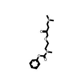 CN(C)CCC(=O)COCCN(C)C(=O)Oc1ccccc1